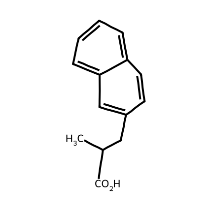 CC(Cc1ccc2ccccc2c1)C(=O)O